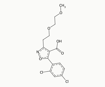 COCCOCCc1noc(-c2ccc(Cl)cc2Cl)c1C(=O)O